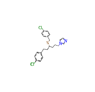 Clc1ccc(CCC(CCCn2ccnc2)SCc2ccc(Cl)cc2)cc1